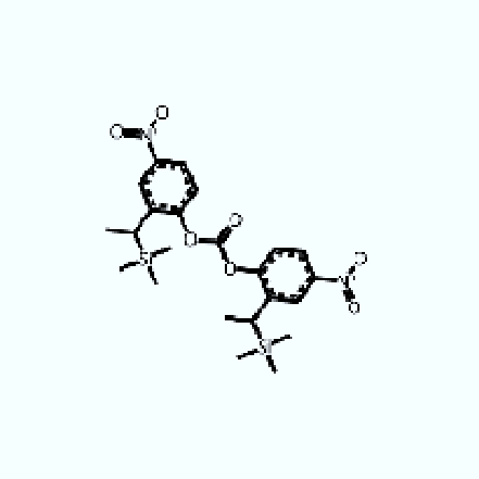 CC(c1cc([N+](=O)[O-])ccc1OC(=O)Oc1ccc([N+](=O)[O-])cc1C(C)[Si](C)(C)C)[Si](C)(C)C